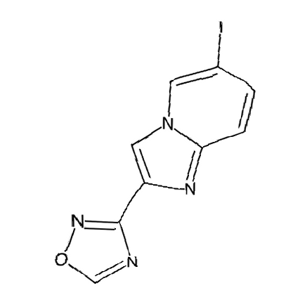 Ic1ccc2nc(-c3ncon3)cn2c1